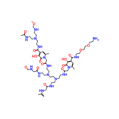 C=C(C)NCC(=O)NCCN(CCNC(=O)Cn1c(C)cc(C(=O)NCCOCCOCCN)c(O)c1=O)CCN(CCNC(=O)CNC=O)CCNC(=O)Cn1c(C)cc(C(=O)NCCN(CCNCOC)CCNC(C)=O)c(O)c1=O